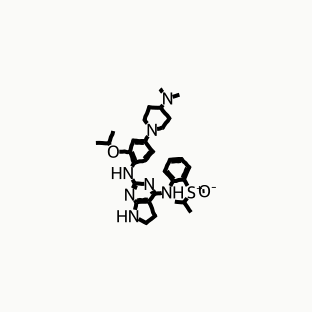 CC(C)Oc1cc(N2CCC(N(C)C)CC2)ccc1Nc1nc2c(c(Nc3ccccc3[S+]([O-])C(C)C)n1)CCN2